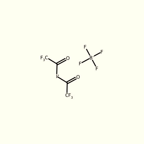 F[B-](F)(F)F.O=C([I+]C(=O)C(F)(F)F)C(F)(F)F